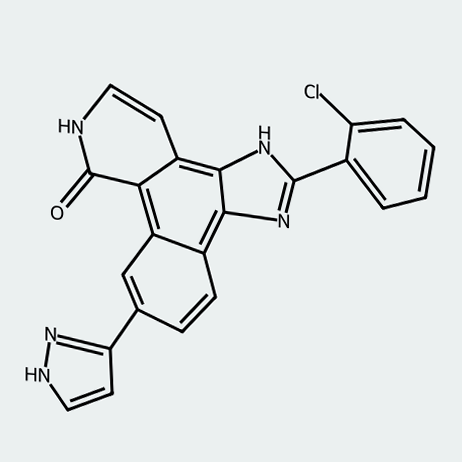 O=c1[nH]ccc2c3[nH]c(-c4ccccc4Cl)nc3c3ccc(-c4cc[nH]n4)cc3c12